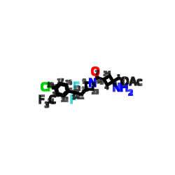 CC(=O)OC[C@]1(N)C[C@@H](C(=O)N2CC(CC(F)(F)c3ccc(Cl)c(C(F)(F)F)c3)C2)C1